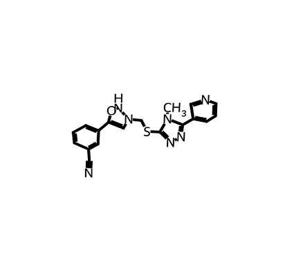 Cn1c(SCN2C=C(c3cccc(C#N)c3)ON2)nnc1-c1cccnc1